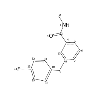 CNC(=O)c1cccc(Cc2ccc(F)cc2)c1